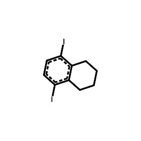 Ic1ccc(I)c2c1CCCC2